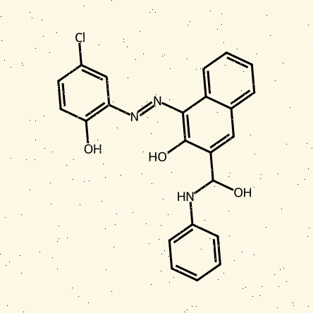 Oc1ccc(Cl)cc1N=Nc1c(O)c(C(O)Nc2ccccc2)cc2ccccc12